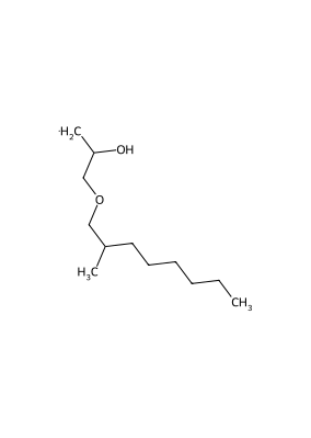 [CH2]C(O)COCC(C)CCCCCC